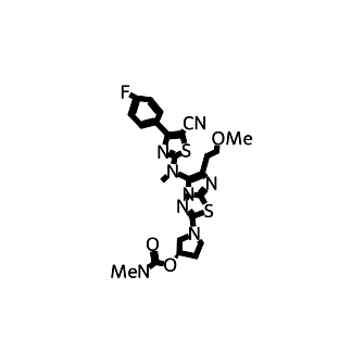 CNC(=O)O[C@@H]1CCN(c2nn3c(N(C)c4nc(-c5ccc(F)cc5)c(C#N)s4)c(CCOC)nc3s2)C1